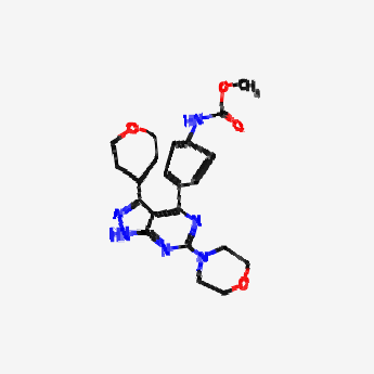 COC(=O)Nc1ccc(-c2nc(N3CCOCC3)nc3[nH]nc(C4CCOCC4)c23)cc1